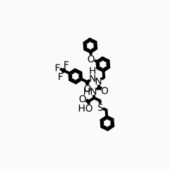 O=C(NN(Cc1cccc(Oc2ccccc2)c1)C(=O)NC(CSCc1ccccc1)C(=O)O)c1ccc(C(F)(F)F)cc1